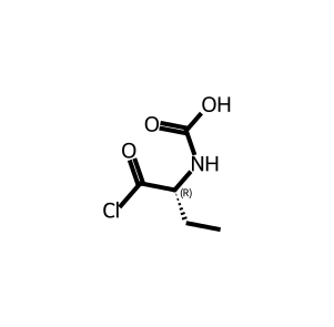 CC[C@@H](NC(=O)O)C(=O)Cl